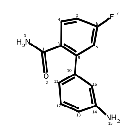 NC(=O)c1ccc(F)cc1-c1cccc(N)c1